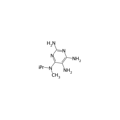 CC(C)N(C)c1nc(N)nc(N)c1N